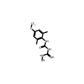 CCCNC(=N)NC(=O)Nc1c(C)cc(OC(F)(F)F)cc1C